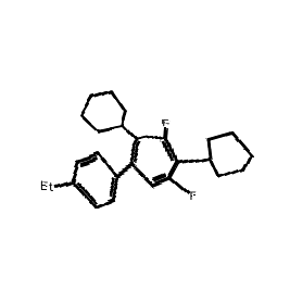 CCc1ccc(-c2cc(F)c(C3CCCCC3)c(F)c2C2CCCCC2)cc1